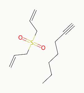 C#CCCCCC.C=CCS(=O)(=O)CC=C